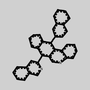 c1ccc2cc(-c3c4ccccc4c(-c4cc5ccccc5cn4)c4cnc5ccccc5c34)ccc2c1